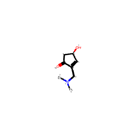 CCN(CC)CC1=C[C@H](O)CC1=O